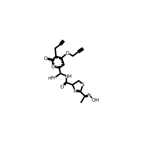 C#CCOc1cc(C(CCC)NC(=O)C2CSC(/C(C)=N/O)=N2)oc(=O)c1CC#C